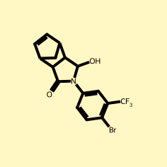 O=C1C2C3C=CC(C3)C2C(O)N1c1ccc(Br)c(C(F)(F)F)c1